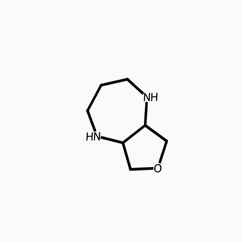 C1CNC2COCC2NC1